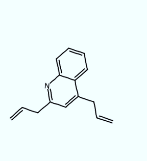 C=CCc1cc(CC=C)c2ccccc2n1